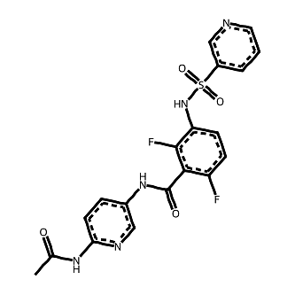 CC(=O)Nc1ccc(NC(=O)c2c(F)ccc(NS(=O)(=O)c3cccnc3)c2F)cn1